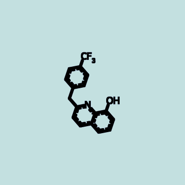 Oc1cccc2ccc(Cc3ccc(C(F)(F)F)cc3)nc12